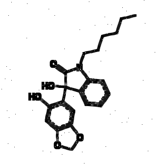 CCCCCCN1C(=O)C(O)(c2cc3c(cc2O)OCO3)c2ccccc21